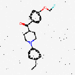 CCc1ccc(N2CCC(C(=O)c3ccc(OCF)cc3)CC2)cc1